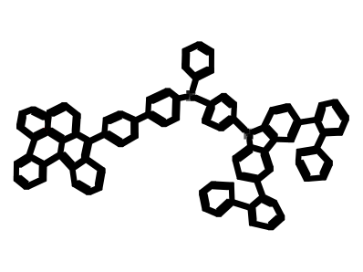 c1ccc(-c2ccccc2-c2ccc3c(c2)c2cc(-c4ccccc4-c4ccccc4)ccc2n3-c2ccc(N(c3ccccc3)c3ccc(-c4ccc(-c5c6ccccc6c(-c6ccccc6-c6ccccc6)c6ccccc56)cc4)cc3)cc2)cc1